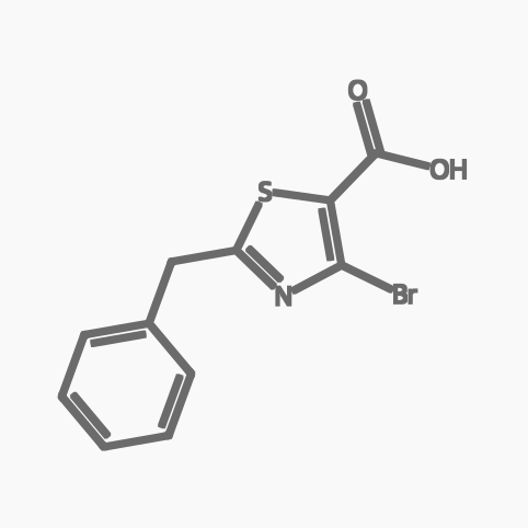 O=C(O)c1sc(Cc2ccccc2)nc1Br